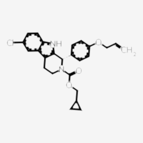 C=CCOc1ccc([C@H]2c3[nH]c4ccc(Cl)cc4c3CCN2C(=O)OCC2CC2)cc1